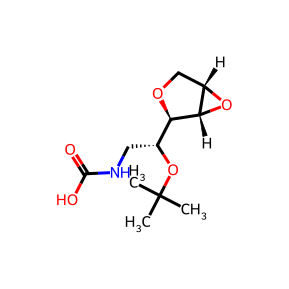 CC(C)(C)O[C@H](CNC(=O)O)[C@H]1OC[C@@H]2O[C@H]12